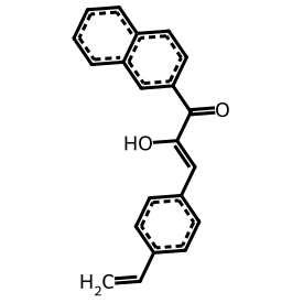 C=Cc1ccc(C=C(O)C(=O)c2ccc3ccccc3c2)cc1